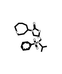 CC(C)N(C[C@@H]1CN(C2CCCCCCC2)C(=O)O1)S(=O)(=O)c1ccccc1